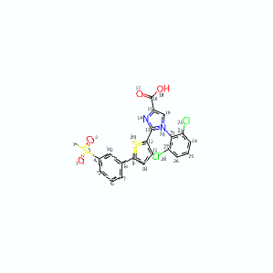 CS(=O)(=O)c1cccc(-c2ccc(-c3nc(C(=O)O)cn3-c3c(Cl)cccc3Cl)s2)c1